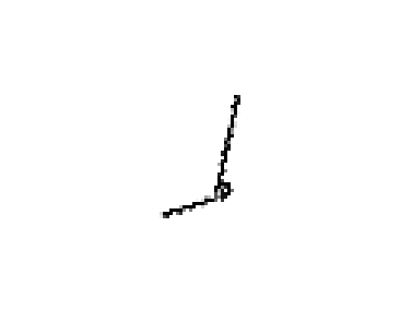 CCCCCCCCCCCCCCCc1ccc[n+](CCCCCCCCCC)c1